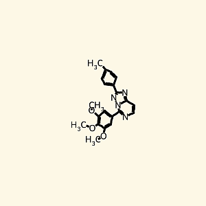 COc1cc(-c2nccc3nc(-c4ccc(C)cc4)nn23)cc(OC)c1OC